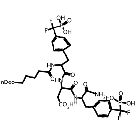 CCCCCCCCCCCCCCC(=O)NC(Cc1ccc(C(F)(F)P(=O)(O)O)cc1)C(=O)NC(CC(=O)O)C(=O)NC(Cc1ccc(C(F)(F)P(=O)(O)O)cc1)C(N)=O